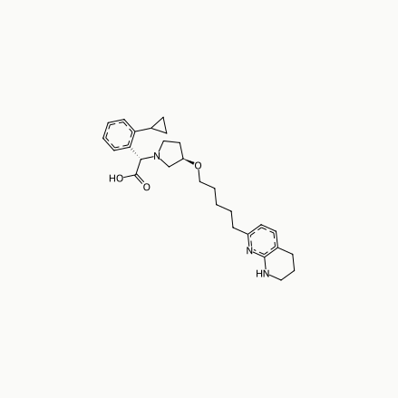 O=C(O)[C@H](c1ccccc1C1CC1)N1CC[C@@H](OCCCCCc2ccc3c(n2)NCCC3)C1